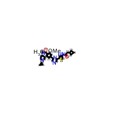 COc1cc(-c2cncc(-c3cc(NC(=O)CC4CCC4)cs3)n2)ccc1C(=O)N(C)C1CCN(C2CC2)CC1